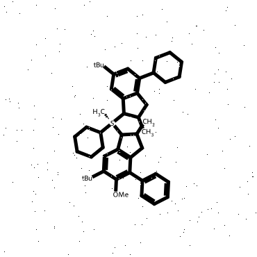 COc1c(C(C)(C)C)cc2c(c1-c1ccccc1)CC(C)C2[S@@](C)(C1CCCCC1)C1c2cc(C(C)(C)C)cc(C3CCCCC3)c2CC1C